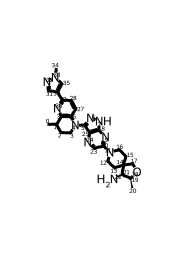 CC1CCN(c2n[nH]c3nc(N4CCC5(CC4)CO[C@@H](C)[C@H]5N)cnc23)c2ccc(-c3cnn(C)c3)nc21